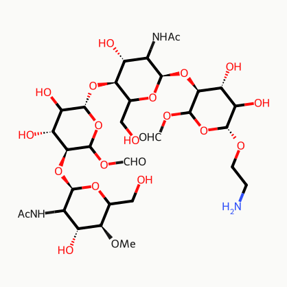 CO[C@@H]1C(CO)O[C@H](O[C@@H]2C(OC=O)O[C@@H](O[C@@H]3C(CO)O[C@H](O[C@@H]4C(OC=O)O[C@@H](OCCN)C(O)[C@H]4O)C(NC(C)=O)[C@H]3O)C(O)[C@H]2O)C(NC(C)=O)[C@H]1O